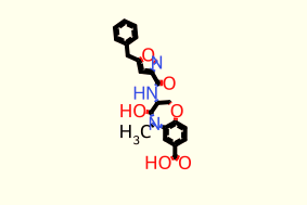 CN1c2cc(C(=O)O)ccc2OCC(NC(=O)c2cc(Cc3ccccc3)on2)C1O